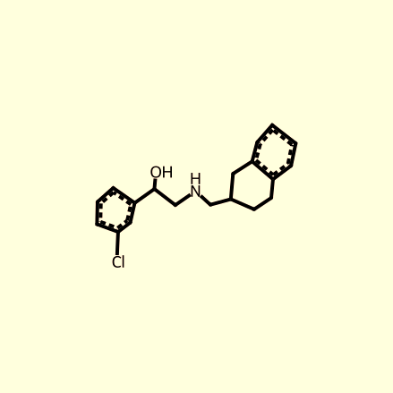 OC(CNCC1CCc2ccccc2C1)c1cccc(Cl)c1